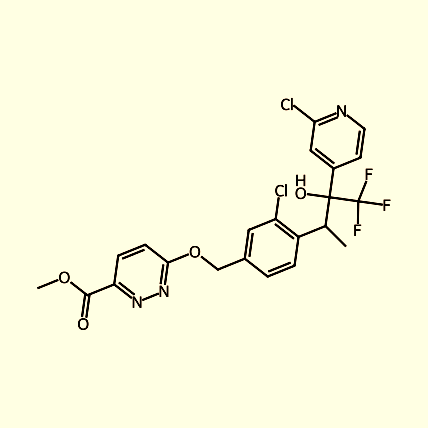 COC(=O)c1ccc(OCc2ccc(C(C)C(O)(c3ccnc(Cl)c3)C(F)(F)F)c(Cl)c2)nn1